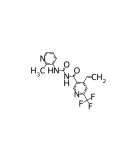 C=Cc1cc(C(F)(F)F)ncc1C(=O)NC(=O)Nc1cccnc1C